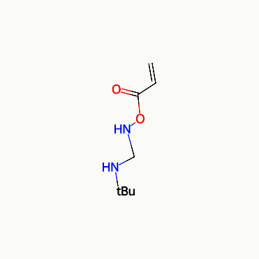 C=CC(=O)ONCNC(C)(C)C